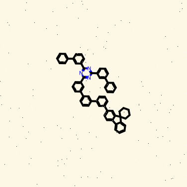 c1ccc(-c2cccc(-c3nc(-c4cccc(-c5ccccc5)c4)nc(-c4cccc(-c5cccc(-c6cccc(-c7ccc8c(c7)C7(CCCCC7)c7ccccc7-8)c6)c5)c4)n3)c2)cc1